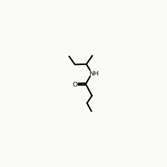 CCCC(=O)NC(C)CC